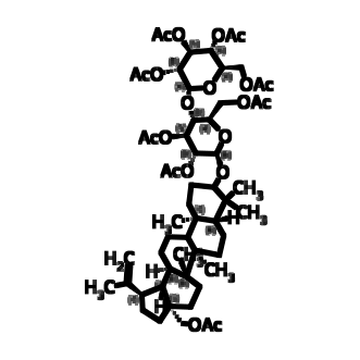 C=C(C)[C@@H]1CC[C@]2(COC(C)=O)CC[C@]3(C)[C@H](CCC4[C@@]5(C)CCC(O[C@@H]6O[C@H](COC(C)=O)[C@@H](O[C@H]7O[C@H](COC(C)=O)[C@@H](OC(C)=O)[C@H](OC(C)=O)[C@H]7OC(C)=O)[C@H](OC(C)=O)[C@H]6OC(C)=O)C(C)(C)[C@@H]5CC[C@]43C)[C@@H]12